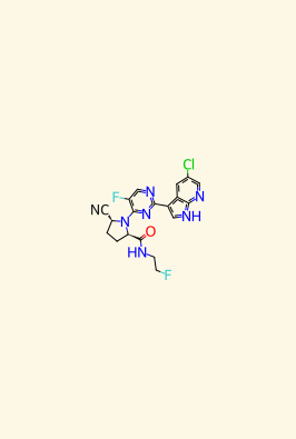 N#C[C@@H]1CC[C@H](C(=O)NCCF)N1c1nc(-c2c[nH]c3ncc(Cl)cc23)ncc1F